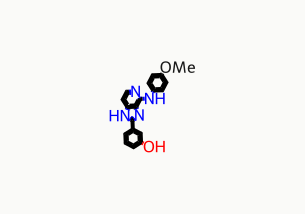 COc1ccc(Nc2nccc3[nH]c(-c4cccc(O)c4)nc23)cc1